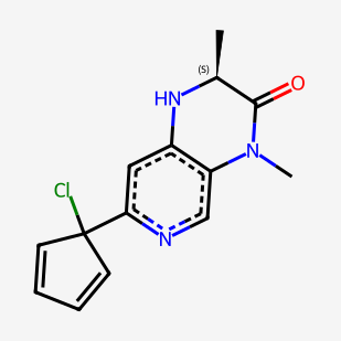 C[C@@H]1Nc2cc(C3(Cl)C=CC=C3)ncc2N(C)C1=O